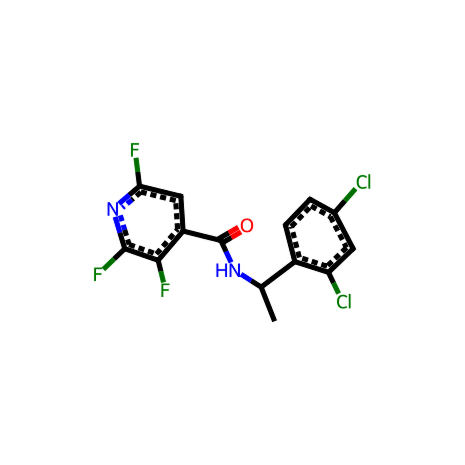 CC(NC(=O)c1cc(F)nc(F)c1F)c1ccc(Cl)cc1Cl